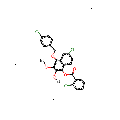 CCOc1c(OCC)c(OC(=O)c2ccccc2Cl)c2ccc(Cl)cc2c1OCc1ccc(Cl)cc1